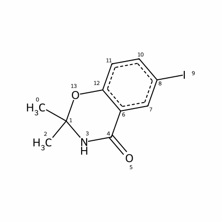 CC1(C)NC(=O)c2cc(I)ccc2O1